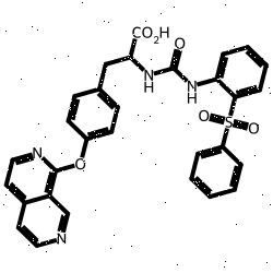 O=C(Nc1ccccc1S(=O)(=O)c1ccccc1)NC(Cc1ccc(Oc2nccc3ccncc23)cc1)C(=O)O